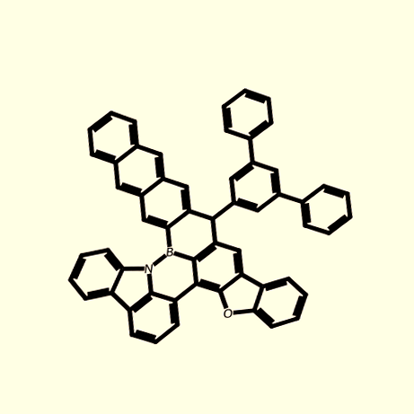 c1ccc(-c2cc(-c3ccccc3)cc(C3c4cc5cc6ccccc6cc5cc4B4c5c3cc3c(oc6ccccc63)c5-c3cccc5c6ccccc6n4c35)c2)cc1